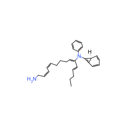 CCC/C=C/C(=C\CCC/C=C\C=C/CN)N(C1=C2C=CC=C[C@@H]21)c1ccccc1